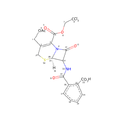 CC(=O)OCC1=C(C(=O)OCC(Cl)(Cl)Cl)N2C(=O)C(NC(=O)c3ccccc3C(=O)O)[C@H]2SC1